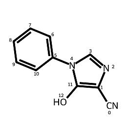 N#Cc1ncn(-c2ccccc2)c1O